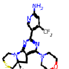 Nc1cc(C(F)(F)F)c(-c2nc(N3CCOCC3)c3c(n2)N2CCSC[C@H]2C3)cn1